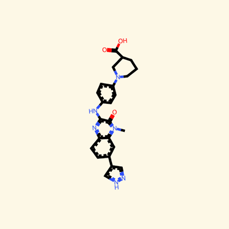 Cn1c(=O)c(Nc2ccc(N3CCCC(C(=O)O)C3)cc2)nc2ccc(-c3cn[nH]c3)cc21